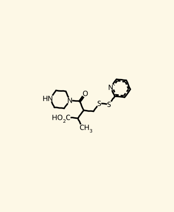 CC(C(=O)O)C(CSSc1ccccn1)C(=O)N1CCNCC1